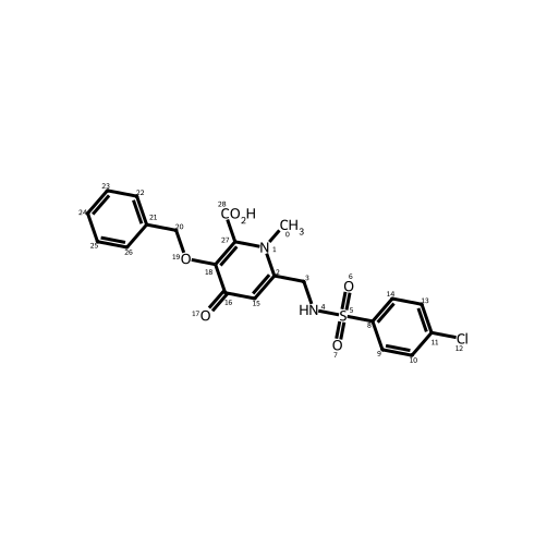 Cn1c(CNS(=O)(=O)c2ccc(Cl)cc2)cc(=O)c(OCc2ccccc2)c1C(=O)O